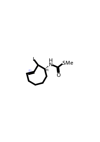 CSC(=O)N[C@@H]1CCCC/C=C/C1I